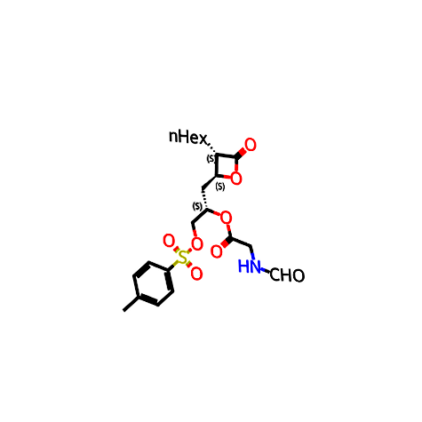 CCCCCC[C@@H]1C(=O)O[C@H]1C[C@@H](COS(=O)(=O)c1ccc(C)cc1)OC(=O)CNC=O